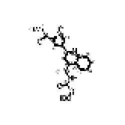 COC(=O)c1cc(-c2cc([C@@H](C)NC(=O)OC(C)(C)C)c3ccccc3n2)cn1C